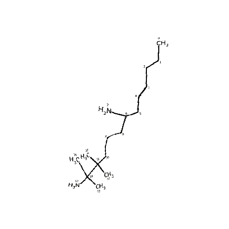 CCCCCCC(N)CCCC(C)(C)C(C)(C)N